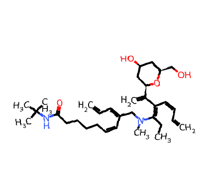 C=C/C=C\C(C(=C)[C@H]1C[C@@H](O)C[C@@H](CO)O1)=C(/CC)N(C)CC(/C=C\CCCCC(=O)NC(C)(C)C)=C/C=C